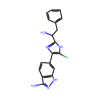 Nc1n[nH]c2cc(-c3nc(C(N)Cc4ccccc4)[nH]c3Cl)ccc12